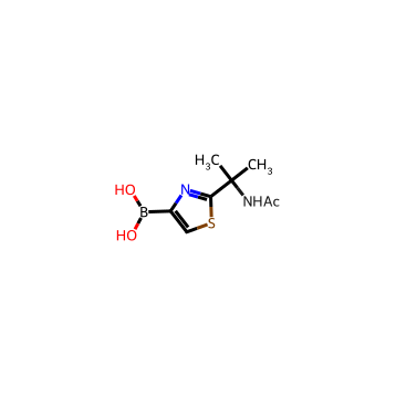 CC(=O)NC(C)(C)c1nc(B(O)O)cs1